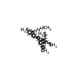 CCCCCCCCn1c2cc(C)ccc2c2ccc(-c3ccc(-c4ccc(-c5ccc(C)s5)c5nc(CCCC)c(CCCC)nc45)s3)cc21